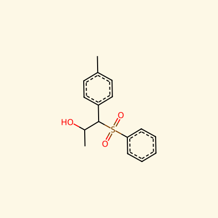 Cc1ccc(C(C(C)O)S(=O)(=O)c2ccccc2)cc1